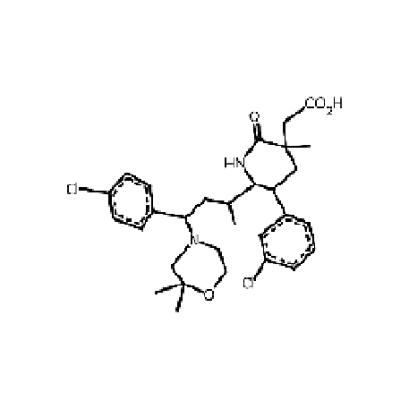 CC(CC(c1ccc(Cl)cc1)N1CCOC(C)(C)C1)C1NC(=O)C(C)(CC(=O)O)CC1c1cccc(Cl)c1